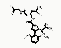 COc1cccc(OC)c1-c1cc(C(=O)N[C@H](CC(=O)NCC(N)=O)CC(C)C)nn1C(C)C(C)C